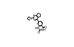 O=c1[nH]c(=O)c2ccc(-c3nc(N4CCC4)nc4c3CCC4)cc2[nH]1